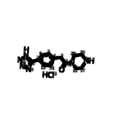 Cl.O=C(Cc1ccc(-c2nnn[nH]2)cc1)N1CCNCC1